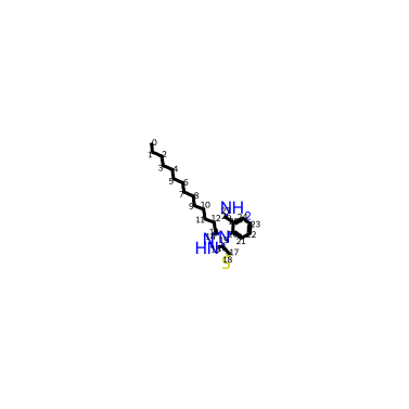 CCCCCCCCCCCCCC1=NNC(C=S)N1c1ccccc1CN